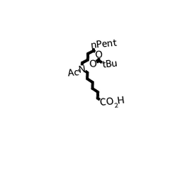 CCCCCC(CCCN(CCCCCCC(=O)O)C(C)=O)OC(=O)C(C)(C)C